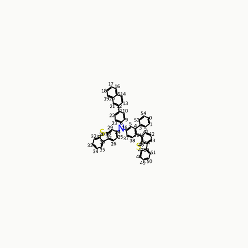 c1ccc(-c2cc(N(c3ccc(-c4ccc5ccccc5c4)cc3)c3ccc4c(c3)sc3ccccc34)ccc2-c2cccc3c2sc2ccccc23)cc1